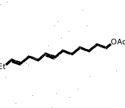 CCC=CCCC=CCCCCCCOC(C)=O